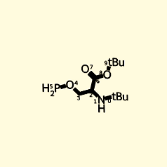 CC(C)(C)NC(COP)C(=O)OC(C)(C)C